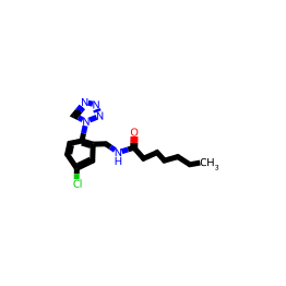 CCCCCCC(=O)NCc1cc(Cl)ccc1-n1cnnn1